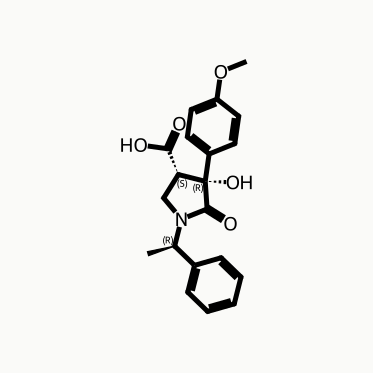 COc1ccc([C@@]2(O)C(=O)N([C@H](C)c3ccccc3)C[C@@H]2C(=O)O)cc1